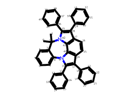 CC1(C)c2ccccc2-n2c(-c3ccccc3)c(-c3ccccc3)c3ccc4c(-c5ccccc5)c(-c5ccccc5)n1c4c32